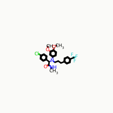 CNC(=O)[C@@H](c1ccc(Cl)cc1)N(CCCc1ccc(C(F)(F)F)cc1)c1ccc(OC)c(OC)c1